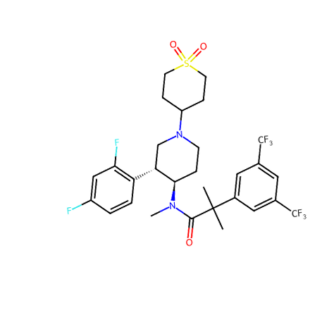 CN(C(=O)C(C)(C)c1cc(C(F)(F)F)cc(C(F)(F)F)c1)[C@@H]1CCN(C2CCS(=O)(=O)CC2)C[C@H]1c1ccc(F)cc1F